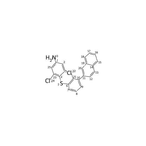 Nc1ccc(Sc2cccc(-c3ccc4ccccc4c3)c2Cl)c(Cl)c1